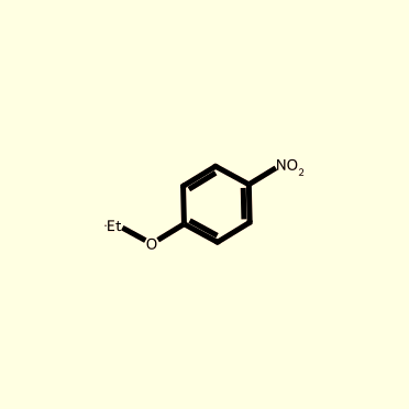 C[CH]Oc1ccc([N+](=O)[O-])cc1